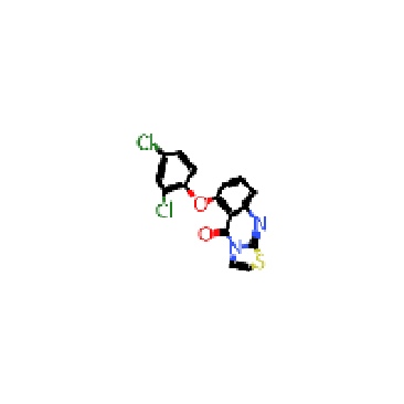 O=c1c2c(Oc3ccc(Cl)cc3Cl)cccc2nc2sccn12